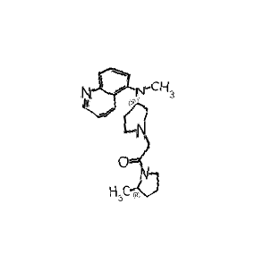 C[C@@H]1CCCN1C(=O)CN1CC[C@H](N(C)c2cccc3ncccc23)C1